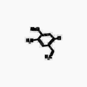 C=Cc1cc(N)c(OC)cc1Cl